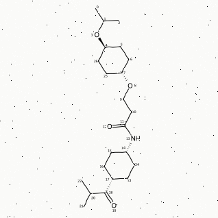 CC(C)O[C@H]1CC[C@H](OCCC(=O)N[C@H]2CC[C@@H](C(=O)C(C)C)CC2)CC1